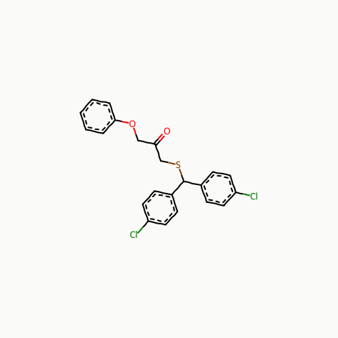 O=C(COc1ccccc1)CSC(c1ccc(Cl)cc1)c1ccc(Cl)cc1